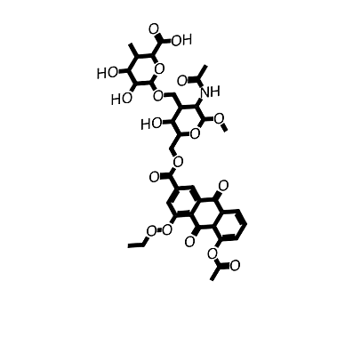 CCOOc1cc(C(=O)OCC2OC(OC)C(NC(C)=O)C(COC3OC(C(=O)O)C(C)C(O)C3O)C2O)cc2c1C(=O)C1C(OC(C)=O)=CC=CC1C2=O